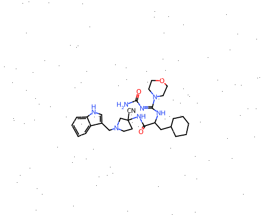 N#CC1(NC(=O)C(CC2CCCCC2)N/C(=N/C(N)=O)N2CCOCC2)CCN(Cc2c[nH]c3ccccc23)C1